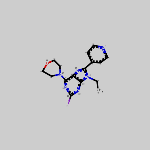 CCn1c(-c2ccncc2)nc2c(N3CCOCC3)nc(I)nc21